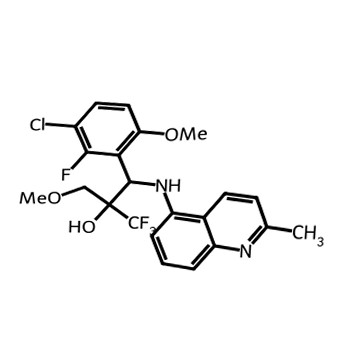 COCC(O)(C(Nc1cccc2nc(C)ccc12)c1c(OC)ccc(Cl)c1F)C(F)(F)F